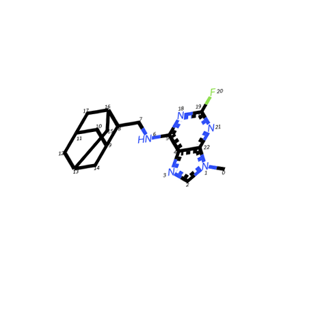 Cn1cnc2c(NCC3C4CC5CC(C4)CC3C5)nc(F)nc21